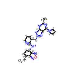 CC(C)(C)c1nc(-n2cccc2)c2nn(Cc3cccnc3Nc3ccc([N+](=O)[O-])c4nonc34)nc2n1